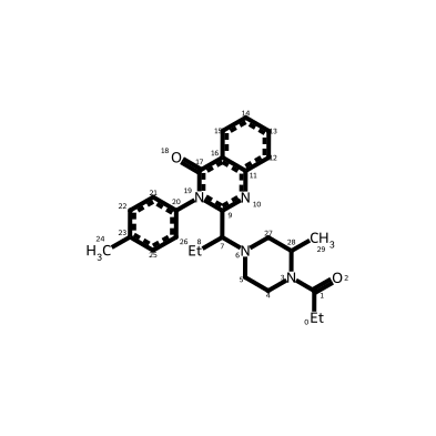 CCC(=O)N1CCN(C(CC)c2nc3ccccc3c(=O)n2-c2ccc(C)cc2)CC1C